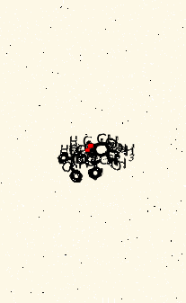 CC(=O)O[C@@]12CO[C@@H]1C[C@H](O)[C@@]1(C)C(=O)[C@H](C)C3=C(C)[C@@H](OC(=O)[C@H](O)C(NC(=O)c4ccccc4)c4ccccc4)C[C@@](O)([C@@H](CC(=O)c4ccccc4)[C@H]21)C3(C)C